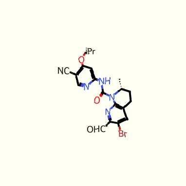 CC(C)Oc1cc(NC(=O)N2c3nc(C=O)c(Br)cc3CC[C@H]2C)ncc1C#N